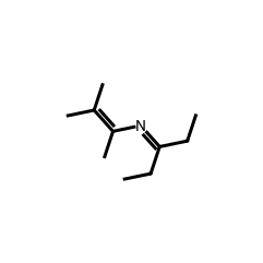 CCC(CC)=NC(C)=C(C)C